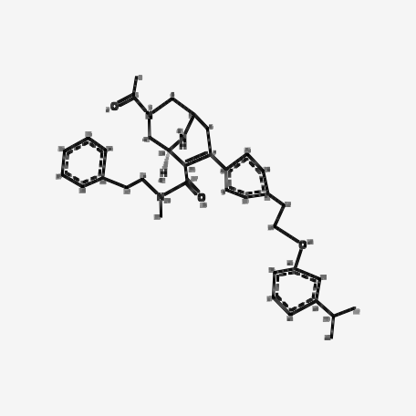 CC(=O)N1CC2CC(c3ccc(CCOc4cccc(C(C)C)c4)cc3)=C(C(=O)N(C)CCc3ccccc3)[C@@H](C1)N2